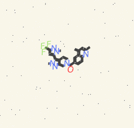 Cc1cc(C)c2cc(C(=O)N3CCc4c(nn(C)c4-c4cc(C(F)(F)F)nn4C)C3)ccc2n1